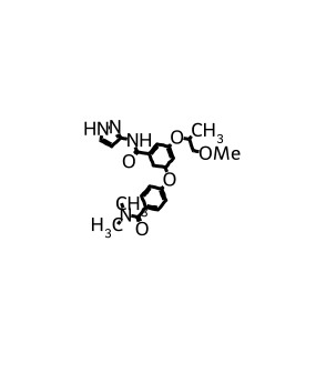 COCC(C)OC1=CC(Oc2ccc(C(=O)N(C)C)cc2)CC(C(=O)Nc2cc[nH]n2)=C1